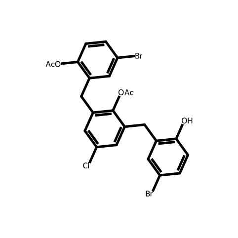 CC(=O)Oc1ccc(Br)cc1Cc1cc(Cl)cc(Cc2cc(Br)ccc2O)c1OC(C)=O